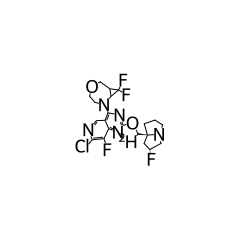 [2H]C(Oc1nc(N2CCOCC3C2C3(F)F)c2cnc(Cl)c(F)c2n1)[C@@]12CCCN1C[C@H](F)C2